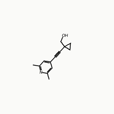 Cc1cc(C#CC2(CO)CC2)cc(C)n1